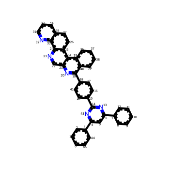 c1ccc(-c2cc(-c3ccccc3)nc(-c3ccc(-c4nc5cnc6c(ccc7cccnc76)c5c5ccccc45)cc3)n2)cc1